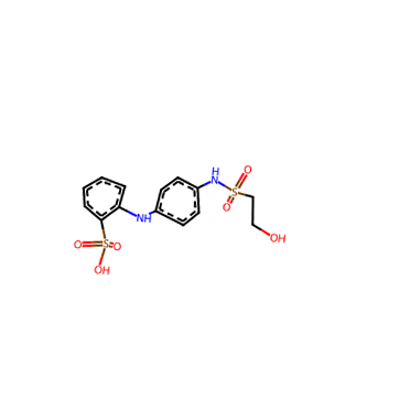 O=S(=O)(CCO)Nc1ccc(Nc2ccccc2S(=O)(=O)O)cc1